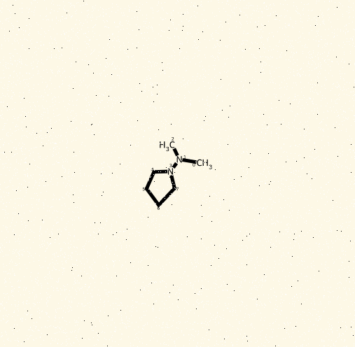 CN(C)N1CCCC1